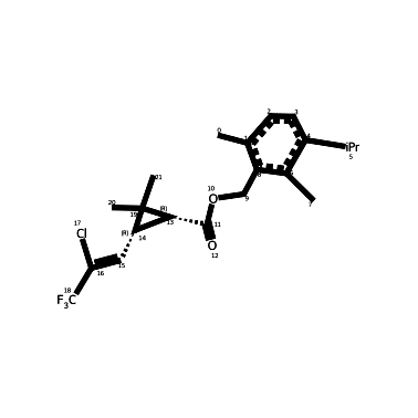 Cc1ccc(C(C)C)c(C)c1COC(=O)[C@@H]1[C@H](C=C(Cl)C(F)(F)F)C1(C)C